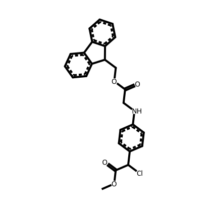 COC(=O)C(Cl)c1ccc(NCC(=O)OCC2c3ccccc3-c3ccccc32)cc1